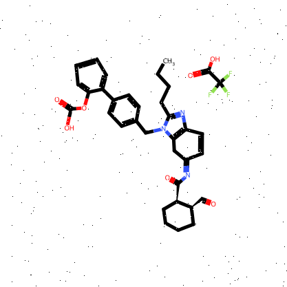 CCCCc1nc2c(n1Cc1ccc(-c3ccccc3OC(=O)O)cc1)CC(=NC(=O)[C@@H]1CCCC[C@@H]1C=O)C=C2.O=C(O)C(F)(F)F